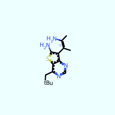 C/C(N)=C(\C)c1c(N)sc2c(CC(C)(C)C)ncnc12